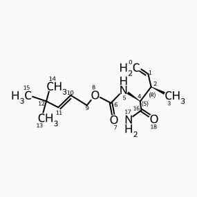 C=C[C@@H](C)[C@H](NC(=O)OCC=CC(C)(C)C)C(N)=O